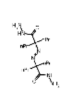 CCCC(CCC)(N=NC(CCC)(CCC)C(=O)NN)C(=O)NN